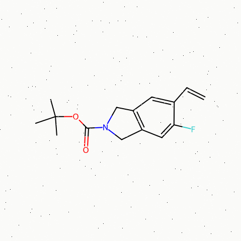 C=Cc1cc2c(cc1F)CN(C(=O)OC(C)(C)C)C2